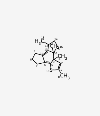 CC1=CC2(C)C(=C3CCCC3=C3C(C)CSC32C)S1